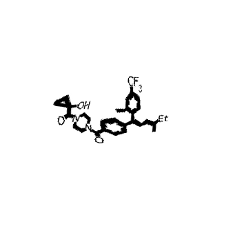 CC/C(C)=C/C=C(/c1ccc(C(=O)N2CCN(C(=O)C3(O)CC3)CC2)cc1)c1ccc(C(F)(F)F)cc1C